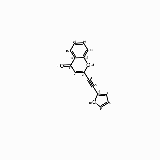 O=c1cc(C#Cc2ccco2)oc2ccccc12